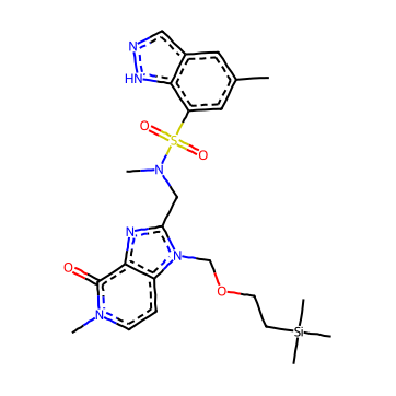 Cc1cc(S(=O)(=O)N(C)Cc2nc3c(=O)n(C)ccc3n2COCC[Si](C)(C)C)c2[nH]ncc2c1